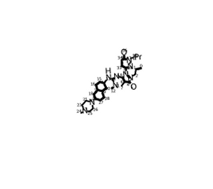 C=CCn1c(=O)c(C)c(/N=C(\N=C)Nc2ccc3cc(N4CCN(C)CC4)ccc3c2)n1-c1ccc(=O)n(C(C)C)n1